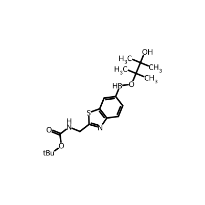 CC(C)(C)OC(=O)NCc1nc2ccc(BOC(C)(C)C(C)(C)O)cc2s1